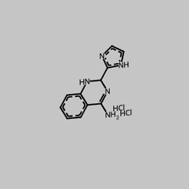 Cl.Cl.NC1=NC(c2ncc[nH]2)Nc2ccccc21